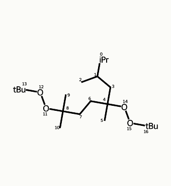 CC(C)C(C)CC(C)(CCC(C)(C)OOC(C)(C)C)OOC(C)(C)C